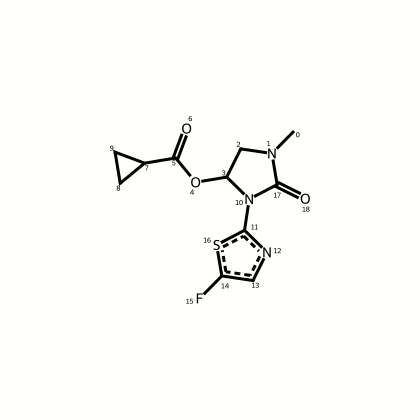 CN1CC(OC(=O)C2CC2)N(c2ncc(F)s2)C1=O